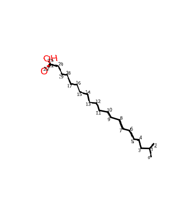 CC(C)CCCCCCCCCCCCCCCCCCC(=O)O